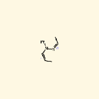 C/C=C\N(/N=C\C)C(C)C